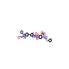 COCCc1nc2cc(-c3ccc(C(=O)NS(=O)(=O)c4ccc(NCCSc5ccccc5)c([N+](=O)[O-])c4)cc3)ccc2n1C1CCCC1